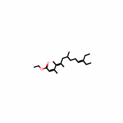 CCOC(=O)C=C(C)C(C)=C(C)CC(C)CCC=C(CC)CC